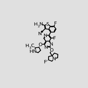 C[C@H]1NCC[C@H]1Oc1nc(OCC23CCCN2C[C@H](F)C3)nc2c(F)c(-c3ccc(F)c4sc(N)c(C#N)c34)ncc12